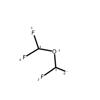 [CH2]C(F)OC(F)F